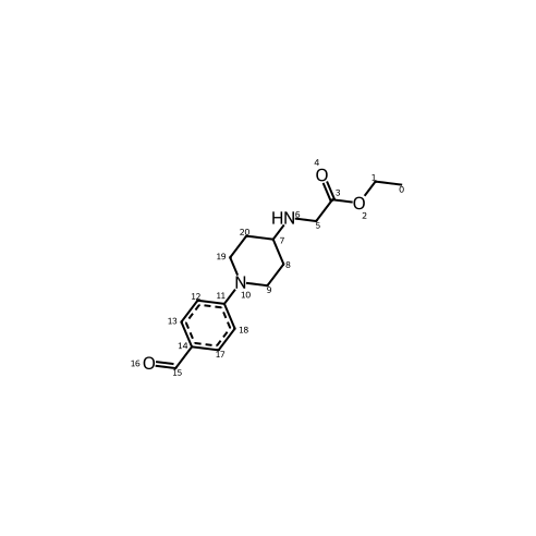 CCOC(=O)CNC1CCN(c2ccc(C=O)cc2)CC1